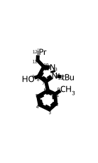 Cc1ccccc1-c1c(O)c(CC(C)C)nn1C(C)(C)C